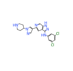 Clc1cc(Cl)cc(Nc2n[nH]c3cnc(-c4cnn(C5CCNCC5)c4)cc23)c1